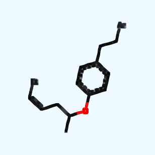 CC/C=C\CC(C)Oc1ccc(CCC(C)=O)cc1